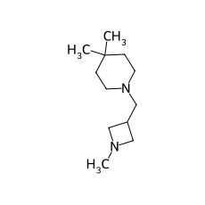 CN1CC(CN2CCC(C)(C)CC2)C1